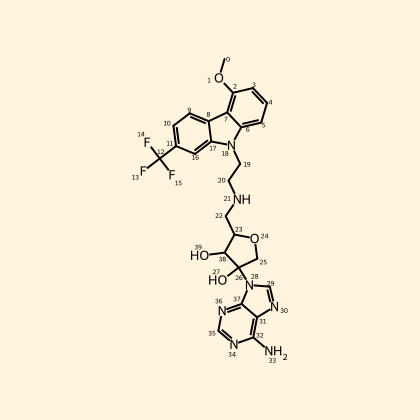 COc1cccc2c1c1ccc(C(F)(F)F)cc1n2CCNCC1OCC(O)(n2cnc3c(N)ncnc32)C1O